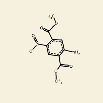 COC(=O)c1cc([N+](=O)[O-])c(C(=O)OC)cc1N